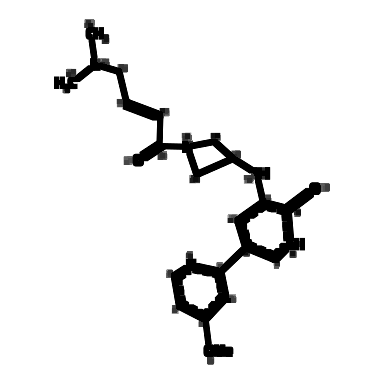 COc1ccnc(-c2c[nH]c(=O)c(NC3CN(C(=O)/C=C/CN(C)C)C3)c2)c1